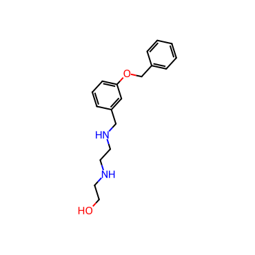 OCCNCCNCc1cccc(OCc2ccccc2)c1